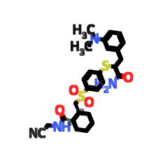 CN(C)c1cccc(CC(Sc2ccc(S(=O)(=O)C[C@H]3CCCC[C@@H]3C(=O)NCC#N)cc2)C(N)=O)c1